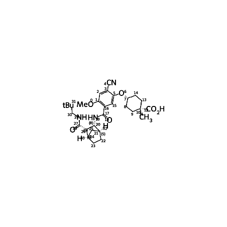 COc1cc(C#N)c(O[C@H]2CC[C@@](C)(C(=O)O)CC2)cc1C(=O)N[C@@H]1[C@H]2CC[C@H](C2)[C@@H]1C(=O)NCC(C)(C)C